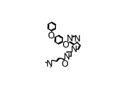 CN(C)CC=CC(=O)N1CC(n2ccc3ncnc(Oc4ccc(Oc5ccccc5)cc4)c32)C1